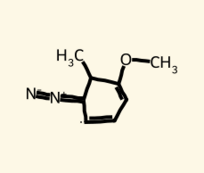 COC1=CC=[C]C(=[N+]=[N-])C1C